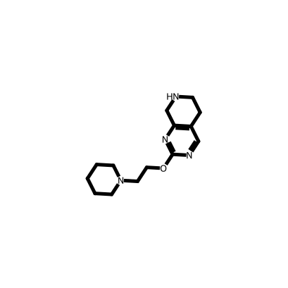 c1nc(OCCN2CCCCC2)nc2c1CCNC2